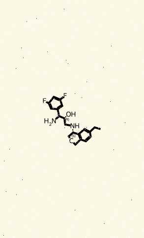 CCc1ccc2c(c1)[C@@H](NC[C@@H](O)C(N)c1cc(F)cc(F)c1)CCC2